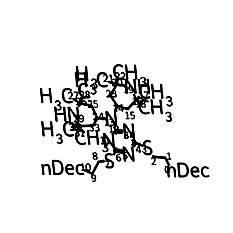 CCCCCCCCCCCCSc1nc(SCCCCCCCCCCCC)nc(N(C2CC(C)(C)NC(C)(C)C2)C2CC(C)(C)NC(C)(C)C2)n1